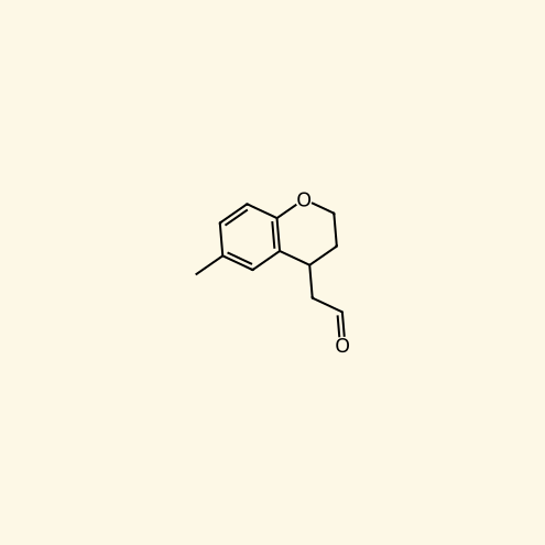 Cc1ccc2c(c1)C(CC=O)CCO2